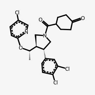 C[C@H](Oc1ccc(Cl)cn1)[C@H]1CN(C(=O)C2CCC(=O)CC2)C[C@@H]1c1ccc(Cl)c(Cl)c1